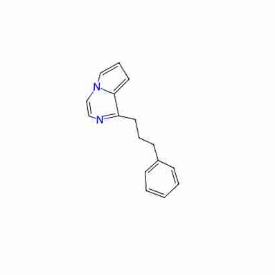 c1ccc(CCCc2nccn3cccc23)cc1